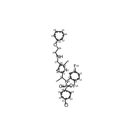 Cc1nc(C(C)N(c2cc(F)ccc2F)S(=O)(=O)c2ccc(Cl)cc2)sc1CNCCOc1ccccc1